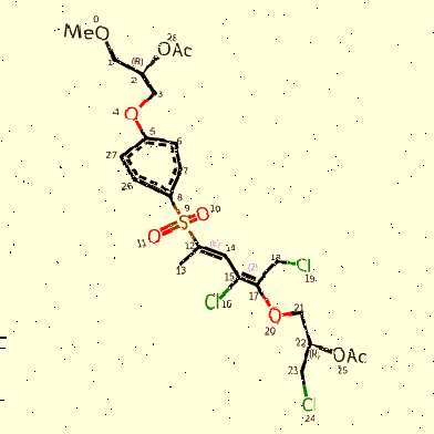 COC[C@H](COc1ccc(S(=O)(=O)/C(C)=C/C(Cl)=C(\CCl)OC[C@H](CCl)OC(C)=O)cc1)OC(C)=O